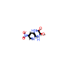 O=c1[nH]c2cc([N+](=O)[O-])cnc2[nH]c1=O